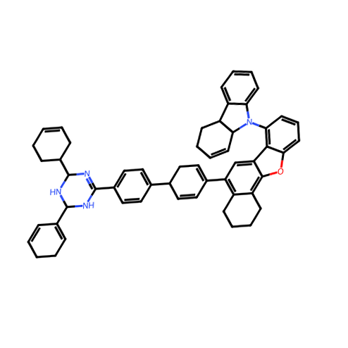 C1=CC(C2NC(c3ccc(C4C=CC(c5cc6c(oc7cccc(N8c9ccccc9C9CCC=CC98)c76)c6c5CCCC6)=CC4)cc3)=NC(C3CC=CCC3)N2)=CCC1